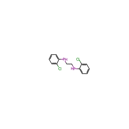 Clc1ccccc1PCCPc1ccccc1Cl